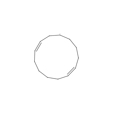 [CH]1CC=CCCCCC=CCCC1